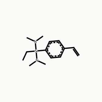 C=Cc1ccc([Si](CC)(N(C)C)N(C)C)cc1